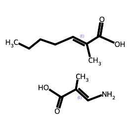 C/C(=C\N)C(=O)O.CCCC/C=C(\C)C(=O)O